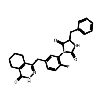 O=C1NC(Cc2ccccc2)C(=O)N1c1cc(Cc2n[nH]c(=O)c3c2CCCC3)ccc1F